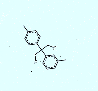 Cc1ccc(C(CF)(CF)c2cccc(C)c2)cc1